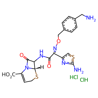 Cl.Cl.NCc1ccc(CON=C(C(=O)NC2C(=O)N3C(C(=O)O)=CCS[C@@H]23)c2csc(N)n2)cc1